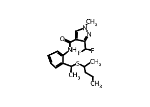 CCCC(C)SC(C)c1ccccc1NC(=O)c1cn(C)nc1C(F)F